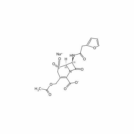 CC(=O)OCC1=C(C(=O)[O-])N2C(=O)[C@H](NC(=O)Cc3ccco3)[C@@H]2S(=O)(=O)C1.[Na+]